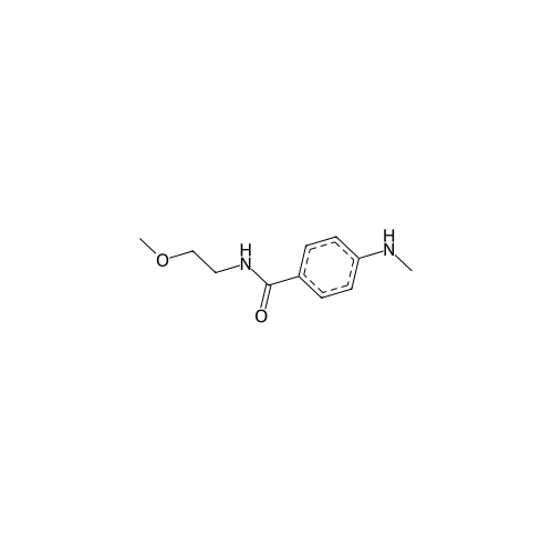 CNc1ccc(C(=O)NCCOC)cc1